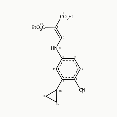 CCOC(=O)C(=CNc1ccc(C#N)c(C2CC2)c1)C(=O)OCC